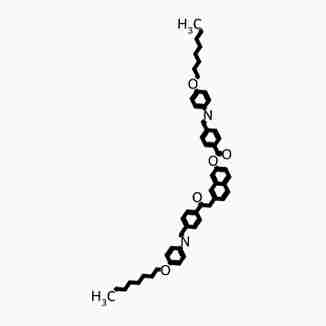 CCCCCCCCOc1ccc(/N=C/c2ccc(C(=O)Cc3ccc4ccc(OC(=O)c5ccc(/C=N/c6ccc(OCCCCCCCC)cc6)cc5)cc4c3)cc2)cc1